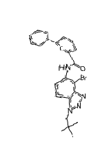 CC(C)(C)Cn1nnc2c(Br)c(NC(=O)c3cccc(-c4ccccc4)c3)ccc21